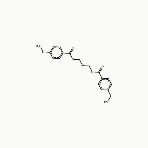 COc1ccc(C(=O)OCCCOC(=O)c2ccc(CO)cc2)cc1